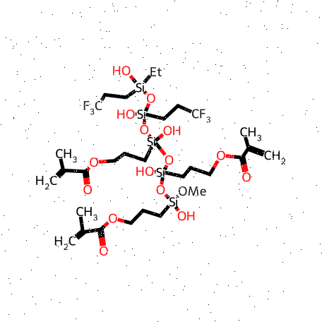 C=C(C)C(=O)OCCC[Si](O)(OC)O[Si](O)(CCCOC(=O)C(=C)C)O[Si](O)(CCCOC(=O)C(=C)C)O[Si](O)(CCC(F)(F)F)O[Si](O)(CC)CCC(F)(F)F